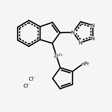 CCCC1=[C]([Zr+2][CH]2C(n3cnnn3)=Cc3ccccc32)CC=C1.[Cl-].[Cl-]